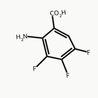 Nc1c(C(=O)O)cc(F)c(F)c1F